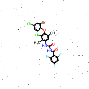 Cc1cc(NC(=O)NC(=O)c2c(F)cc(F)cc2F)c(C)c(Cl)c1Oc1ccc(Cl)cc1Br